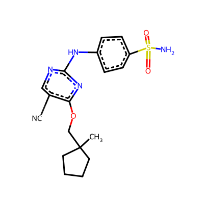 CC1(COc2nc(Nc3ccc(S(N)(=O)=O)cc3)ncc2C#N)CCCC1